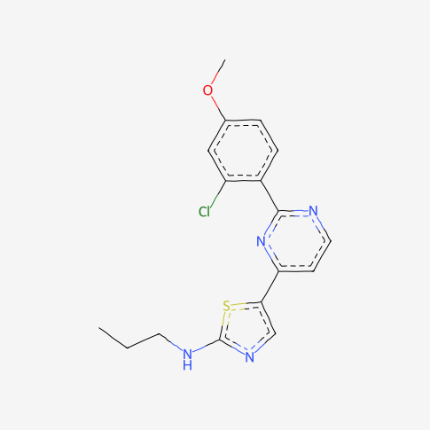 CCCNc1ncc(-c2ccnc(-c3ccc(OC)cc3Cl)n2)s1